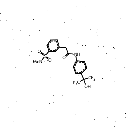 CNS(=O)(=O)c1cccc(CC(=O)Nc2ccc(C(O)(C(F)(F)F)C(F)(F)F)cc2)c1